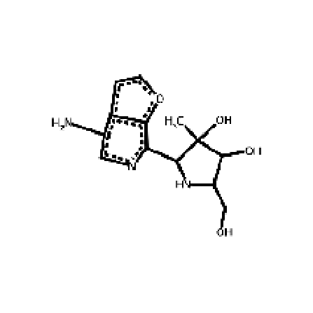 CC1(O)C(c2ncc(N)c3ccoc23)NC(CO)C1O